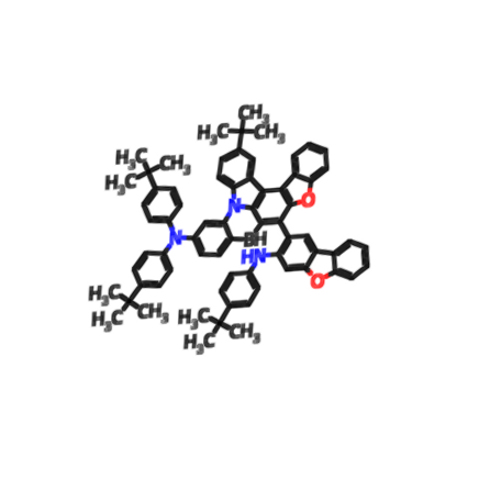 CC(C)(C)c1ccc(Nc2cc3oc4ccccc4c3cc2-c2c3c4c(c5cc(C(C)(C)C)ccc5n4-c4cc(N(c5ccc(C(C)(C)C)cc5)c5ccc(C(C)(C)C)cc5)ccc4B3)c3c2oc2ccccc23)cc1